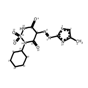 Cc1csc(N=NC2C(=O)NS(=O)(=O)N(C3CCCCC3)C2=O)n1